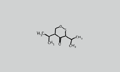 CC(C)C1COSC(C(C)C)C1=O